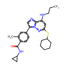 Cc1cc(-c2cnc3c(NCCC(F)(F)F)cc(SC4CCCCC4)nn23)ccc1C(=O)NC1CC1